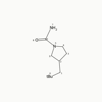 CC(C)(C)CC1CCN(C(N)=O)C1